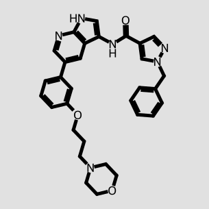 O=C(Nc1c[nH]c2ncc(-c3cccc(OCCCN4CCOCC4)c3)cc12)c1cnn(Cc2ccccc2)c1